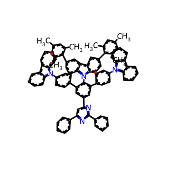 Cc1cc(C)c(-c2ccc3c(c2)c2cc(-c4c(C)cc(C)cc4C)ccc2n3-c2c(-c3ccc(-n4c5ccccc5c5ccccc54)cc3)cc(-c3cc(-c4ccccc4)nc(-c4ccccc4)n3)cc2-c2ccc(-n3c4ccccc4c4ccccc43)cc2)c(C)c1